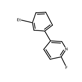 [CH2]Cc1cccc(-c2ccc(F)nc2)c1